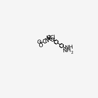 COC(=O)C1CCN(C(=O)COc2ccc(-c3ccc(C(=N)N)cc3)cc2)CC1.Cl